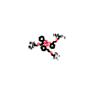 C=C(C)COCCc1ccccc1OP(=O)(Oc1ccccc1CCOCC(=C)C)Oc1ccccc1CCOCC(=C)C